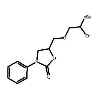 CCCCC(CC)COCC1CN(c2ccccc2)C(=O)O1